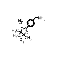 CC1(C)OB(c2ccc(CN)cc2)OC1(C)C.[Cl-].[H+]